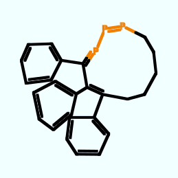 c1ccc(C2=P\P=P/CCCCC/C(c3ccccc3)=C\2c2ccccc2)cc1